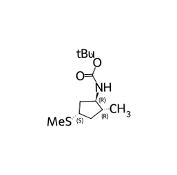 CS[C@H]1C[C@@H](C)[C@H](NC(=O)OC(C)(C)C)C1